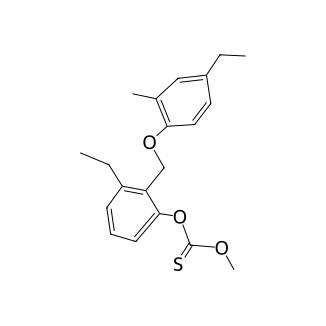 CCc1ccc(OCc2c(CC)cccc2OC(=S)OC)c(C)c1